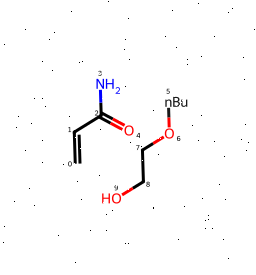 C=CC(N)=O.CCCCOCCO